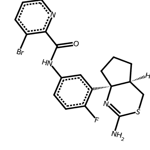 NC1=N[C@@]2(c3cc(NC(=O)c4ncccc4Br)ccc3F)CCC[C@H]2CS1